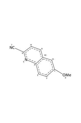 COc1[c]cc2nc(C#N)ccc2c1